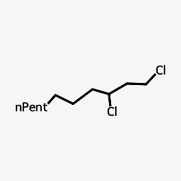 CCCCCCCCC(Cl)CCCl